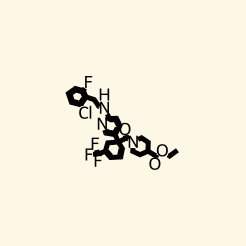 CCOC(=O)C1CCN(C(=O)C2(c3ccc(NCCc4c(F)cccc4Cl)nc3)C=CC=C(C(F)(F)F)C2)CC1